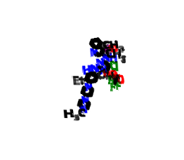 CCc1cc(Nc2ncc(Cl)c(Nc3cnc4ccccc4c3P(C)(C)=O)n2)c(OC)cc1N1CCC(N2CCN(C)CC2)CC1.O=C(O)C(F)(F)F